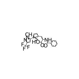 Cn1nc(C(F)(F)F)cc1-c1ccc(C=C(NC(=O)c2ccccc2)C(=O)O)s1